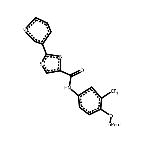 CCCCCOc1ccc(NC(=O)c2csc(-c3cccnc3)n2)cc1C(F)(F)F